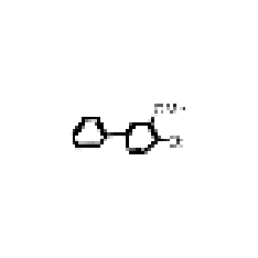 CCc1ccc(-c2ccccc2)cc1OC